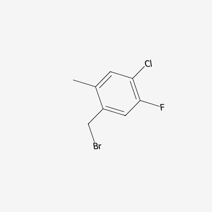 Cc1cc(Cl)c(F)cc1CBr